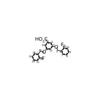 O=C(O)c1cc(OCc2ccccc2F)cc(OCc2ccccc2F)c1